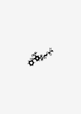 CNC(=O)OCCNS(=O)(=O)c1ccc(NC2CCCCC2)c([N+](=O)[O-])c1